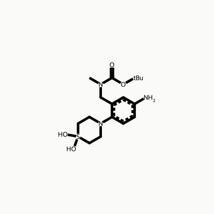 CN(Cc1cc(N)ccc1N1CCS(O)(O)CC1)C(=O)OC(C)(C)C